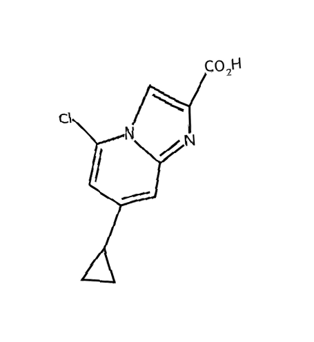 O=C(O)c1cn2c(Cl)cc(C3CC3)cc2n1